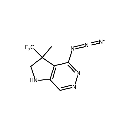 CC1(C(F)(F)F)CNc2cnnc(N=[N+]=[N-])c21